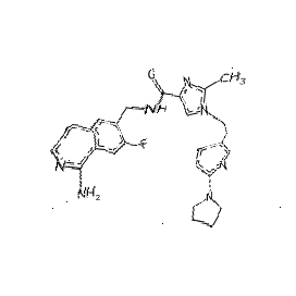 Cc1nc(C(=O)NCc2cc3ccnc(N)c3cc2F)cn1Cc1ccc(N2CCCC2)nc1